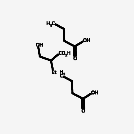 CCC(CO)C(=O)O.CCCC(=O)O.CCCC(=O)O